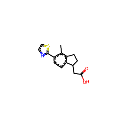 Cc1c(-c2nccs2)ccc2c1CCC2CC(=O)O